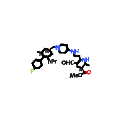 CCCC1=C(C2=CCC(F)CC2)[C@@H](C)C[C@@H](CN2CCC(NCCC3=C(C=O)C[C@H](C(=O)OC)C(C)N3)CC2)C1